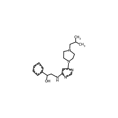 CC(C)CN1CCN(c2cc(NCC(O)c3ccccc3)ncn2)CC1